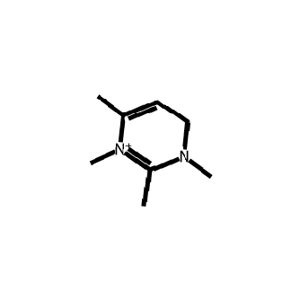 CC1=CCN(C)C(C)=[N+]1C